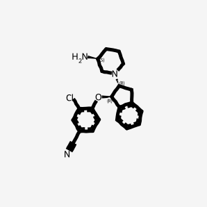 N#Cc1ccc(O[C@@H]2c3ccccc3C[C@H]2N2CCC[C@H](N)C2)c(Cl)c1